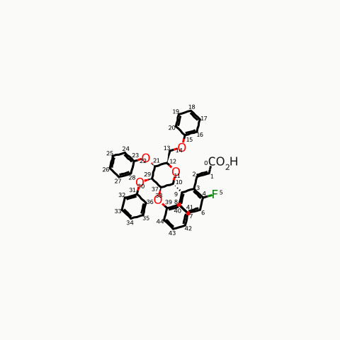 O=C(O)/C=C/c1c(F)cccc1[C@H]1O[C@H](COc2ccccc2)[C@@H](Oc2ccccc2)[C@H](Oc2ccccc2)[C@@H]1Oc1ccccc1